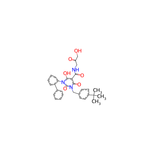 CC(C)(C)c1ccc(Cn2c(=O)c(C(=O)NCC(=O)CO)c(O)n(-c3ccccc3-c3ccccc3)c2=O)cc1